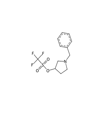 O=S(=O)(OC1CCN(Cc2ccccc2)C1)C(F)(F)F